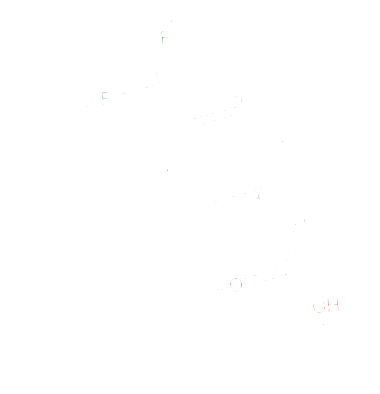 O=C(O)Cc1ccc(C(F)F)cc1